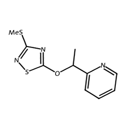 CSc1nsc(OC(C)c2ccccn2)n1